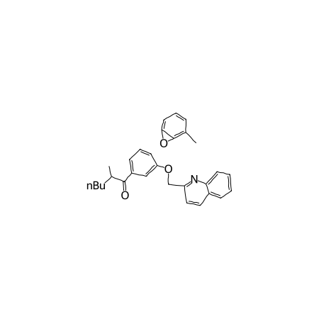 CCCCC(C)C(=O)c1cccc(OCc2ccc3ccccc3n2)c1.Cc1cccc2c1O2